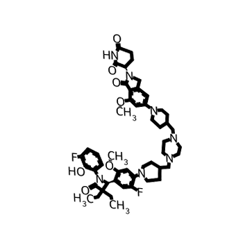 CCC1(CC)C(=O)N(c2cccc(F)c2O)[C@H]1c1cc(F)c(N2CCC(CN3CCN(CC4CCN(c5cc6c(c(OC)c5)C(=O)N([C@H]5CCC(=O)NC5=O)C6)CC4)CC3)CC2)cc1OC